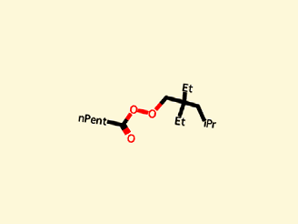 CCCCCC(=O)OOCC(CC)(CC)CC(C)C